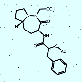 CC(=O)S[C@@H](Cc1ccccc1)C(=O)N[C@H]1CC[C@@H]2CCCN2N(CC(=O)O)C1=O